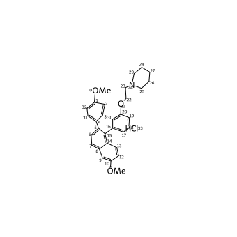 COc1ccc(-c2ccc3cc(OC)ccc3c2-c2cccc(OCCN3CCCCC3)c2)cc1.Cl